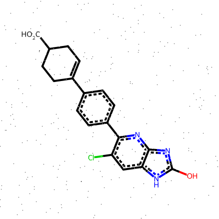 O=C(O)C1CC=C(c2ccc(-c3nc4nc(O)[nH]c4cc3Cl)cc2)CC1